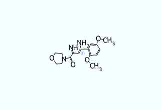 COc1ccc(OC)c(/C(N)=C/C(=N)C(=O)N2CCOCC2)c1